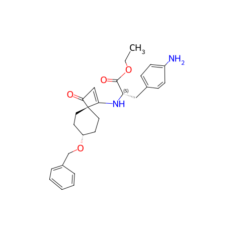 CCOC(=O)[C@H](Cc1ccc(N)cc1)NC1=CC(=O)[C@]12CC[C@@H](OCc1ccccc1)CC2